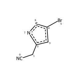 N#CCc1cc(Br)sn1